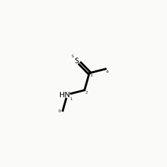 CNCC(C)=S